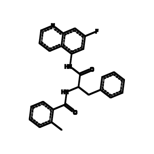 Cc1ccccc1C(=O)NC(Cc1ccccc1)C(=O)Nc1cc(F)cc2ncccc12